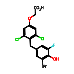 CC(C)c1cc(Cc2c(Cl)cc(OCC(=O)O)cc2Cl)cc(F)c1O